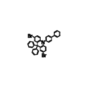 Brc1ccc2c(c1)C(c1ccccc1)(c1ccccc1)c1cc(Br)ccc1N2c1ccc(-c2ccccc2)cc1